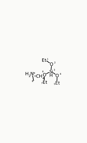 C.CCO[SiH](OCC)OCC.CN